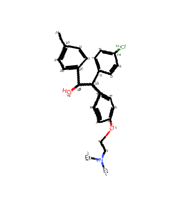 CCN(CC)CCOc1ccc(C(c2ccc(Cl)cc2)C(O)c2ccc(C)cc2)cc1